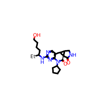 CCC(CCCCO)Nc1ncc2c(n1)N(C1CCCC1)C(=O)[C@]13C(=O)NCC1C23